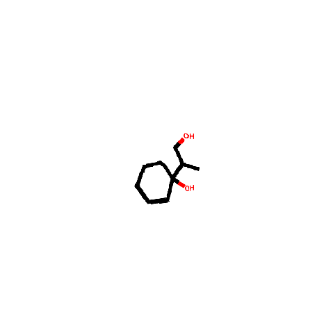 CC(CO)C1(O)CCCCC1